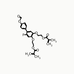 C=C(C)C(=O)OCCOc1cc(F)c(-c2ccc(OC=O)cc2)cc1OCCOC(=O)C(=C)C